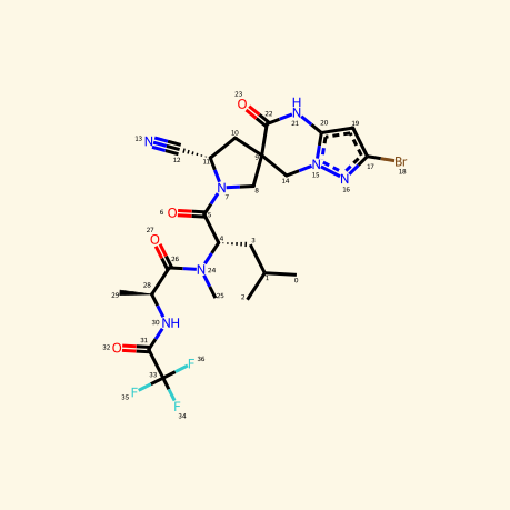 CC(C)C[C@@H](C(=O)N1CC2(C[C@H]1C#N)Cn1nc(Br)cc1NC2=O)N(C)C(=O)[C@H](C)NC(=O)C(F)(F)F